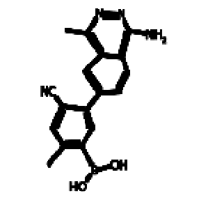 Cc1cc(C#N)c(-c2ccc3c(N)nnc(C)c3c2)cc1B(O)O